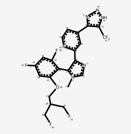 Cn1cnc(-c2cc(-c3nn[nH]c3C(F)(F)F)ccn2)c1-c1c(F)cc(F)cc1OCC(CF)CF